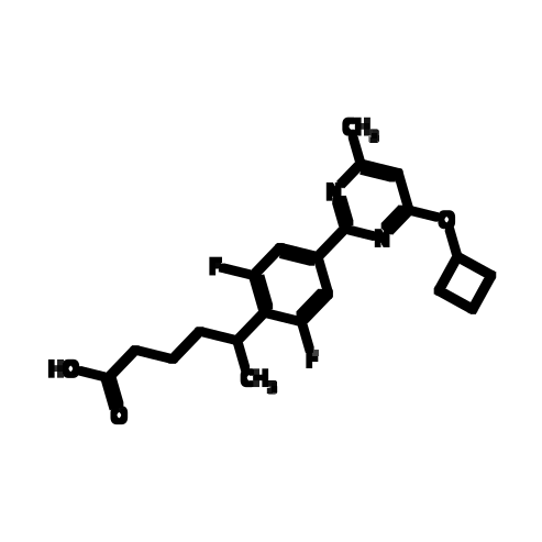 Cc1cc(OC2CCC2)nc(-c2cc(F)c(C(C)CCCC(=O)O)c(F)c2)n1